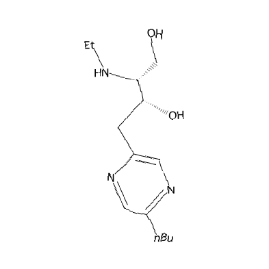 CCCCc1cnc(C[C@@H](O)[C@@H](CO)NCC)cn1